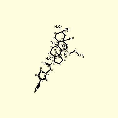 COC[C@H]1C[C@H]2C[C@](C)(O)CC[C@]2(C)[C@H]2CC[C@]3(C)[C@@H](C(=O)Cn4cc(C#N)cn4)CC[C@H]3[C@H]12